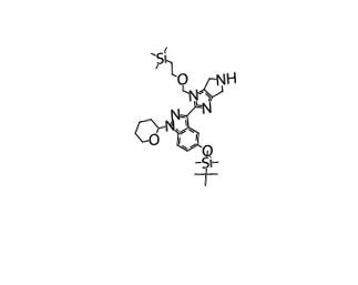 CC(C)(C)[Si](C)(C)Oc1ccc2c(c1)c(-c1nc3c(n1COCC[Si](C)(C)C)CNC3)nn2C1CCCCO1